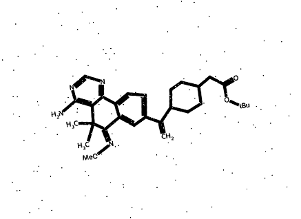 C=C(c1ccc2c(c1)C(=NOC)C(C)(C)c1c(N)ncnc1-2)C1CCC(CC(=O)OC(C)(C)C)CC1